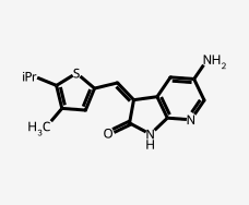 Cc1cc(C=C2C(=O)Nc3ncc(N)cc32)sc1C(C)C